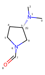 CN(C)[C@H]1CCN([C]=O)C1